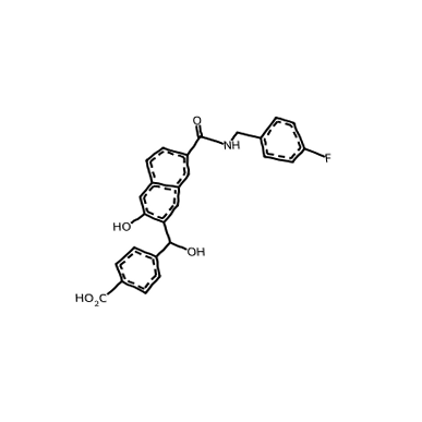 O=C(O)c1ccc(C(O)c2cc3cc(C(=O)NCc4ccc(F)cc4)ccc3cc2O)cc1